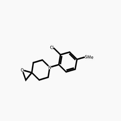 CSc1ccc(N2CCC3(CC2)CO3)c(Cl)c1